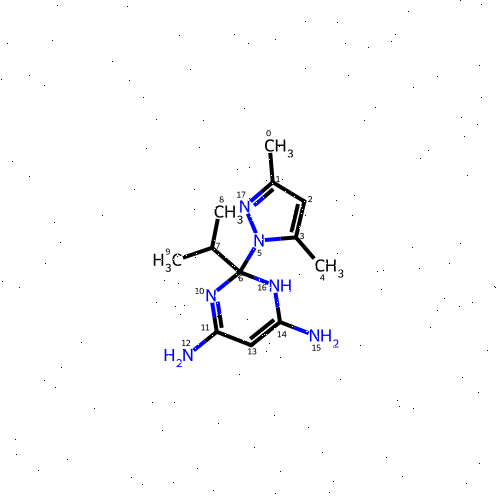 Cc1cc(C)n(C2(C(C)C)N=C(N)C=C(N)N2)n1